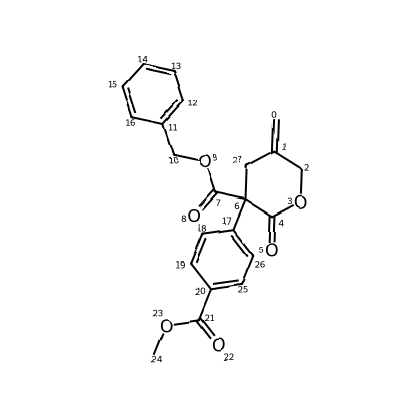 C=C1COC(=O)C(C(=O)OCc2ccccc2)(c2ccc(C(=O)OC)cc2)C1